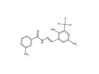 Cc1cccc(C(=O)N/N=C/c2cc(C)cc(C(F)(F)F)c2O)c1